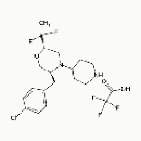 CC(F)(F)[C@H]1CN(C2CCNCC2)[C@@H](Cc2ccc(Cl)cc2)CO1.O=C(O)C(F)(F)F